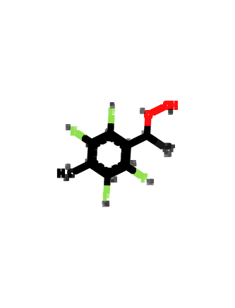 Cc1c(F)c(F)c(C(OO)C(C)C)c(F)c1F